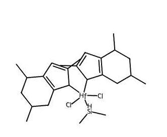 CC1=CC2=C(CC(C)CC2C)[CH]1[Hf]([Cl])([Cl])([CH]1C(C)=CC2=C1CC(C)CC2C)[SiH](C)C